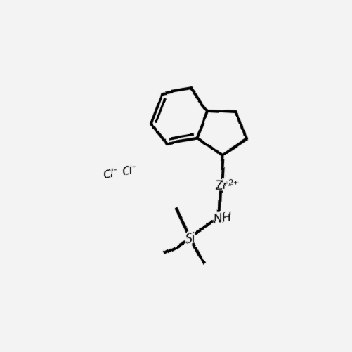 C[Si](C)(C)[NH][Zr+2][CH]1CCC2CC=CC=C21.[Cl-].[Cl-]